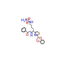 NS(=O)(=O)NCCCCC(NCC(=O)c1ccccc1)c1csc(C2COc3ccccc3O2)n1